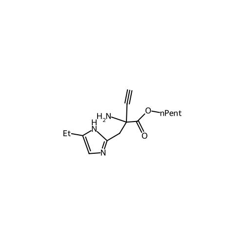 C#CC(N)(Cc1ncc(CC)[nH]1)C(=O)OCCCCC